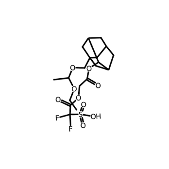 CCOC(C)OCC12CC3CC(C1)C(OC(=O)COC(=O)C(F)(F)S(=O)(=O)O)C(C3)C2